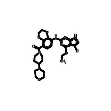 CCOc1nc(Nc2ccc(C(=O)N3CCC(N4CCOCC4)CC3)c3c2OCCO3)nc2[nH]cc(Cl)c12